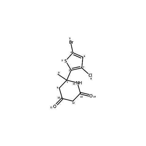 CC1(c2sc(Br)cc2Cl)CC(=O)CC(=O)N1